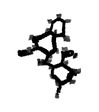 CC(C)(C)c1nc2c(cc1Nc1cc(F)cnc1[N+](=O)[O-])CC[C]C2